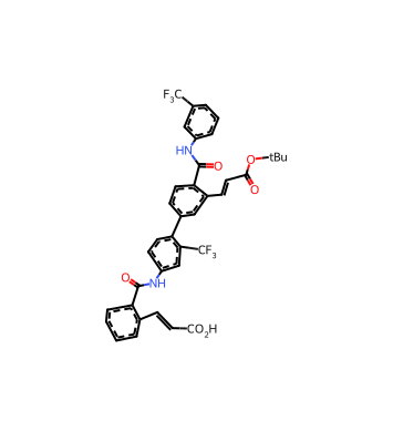 CC(C)(C)OC(=O)/C=C/c1cc(-c2ccc(NC(=O)c3ccccc3/C=C/C(=O)O)cc2C(F)(F)F)ccc1C(=O)Nc1cccc(C(F)(F)F)c1